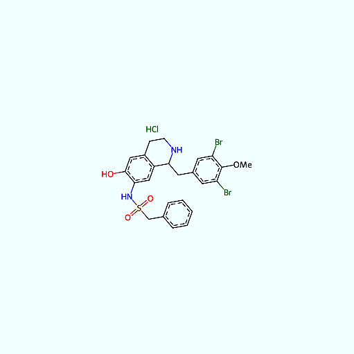 COc1c(Br)cc(CC2NCCc3cc(O)c(NS(=O)(=O)Cc4ccccc4)cc32)cc1Br.Cl